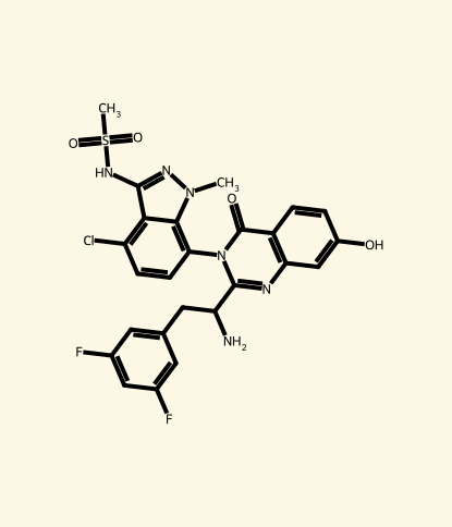 Cn1nc(NS(C)(=O)=O)c2c(Cl)ccc(-n3c(C(N)Cc4cc(F)cc(F)c4)nc4cc(O)ccc4c3=O)c21